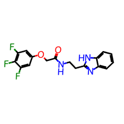 O=C(COc1cc(F)c(F)c(F)c1)NCCc1nc2ccccc2[nH]1